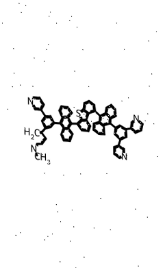 C=C(/C=C\C=N/C)c1cc(-c2cccnc2)cc(-c2c3ccccc3c(-c3cccc4c3sc3cccc(-c5c6ccccc6c(-c6cc(-c7cccnc7)cc(-c7cccnc7)c6)c6ccccc56)c34)c3ccccc23)c1